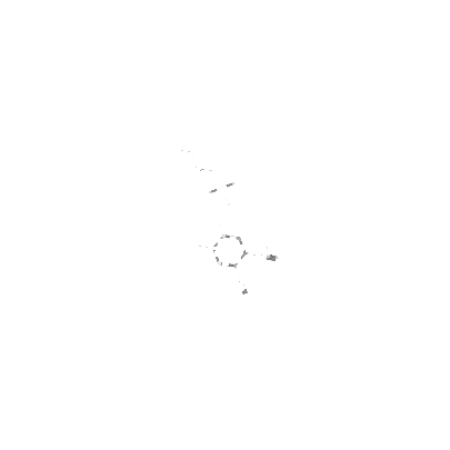 [C-]#[N+]c1cc(Cl)c(SCS(=O)(=O)ONCC)cc1[N+]#[C-]